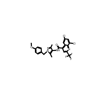 COc1ccc(Cn2nc(C)c(NC(=O)c3cc(C(F)(F)F)nc4c(Cl)cc(Cl)cc34)c2C)cc1